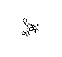 CCC1(OC(=O)C2C(OC(=O)CN3CCCCC3)C3OC2C2C3C(C)(C)OS2(=O)=O)CCCC1